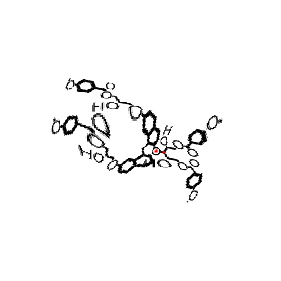 COc1ccc(C(=O)OCC(O)COc2ccc3ccc(OCC(O)COC(=O)c4ccc(OC)cc4)c(Cc4c(OCC(O)COC(=O)c5ccc(OC)cc5)ccc5ccc(OCC(O)COC(=O)c6ccc(OC)cc6)cc45)c3c2)cc1